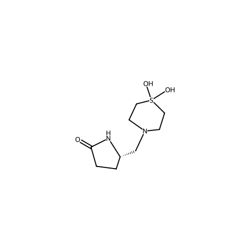 O=C1CC[C@@H](CN2CCS(O)(O)CC2)N1